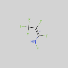 FN/C(F)=C(/F)C(F)(F)F